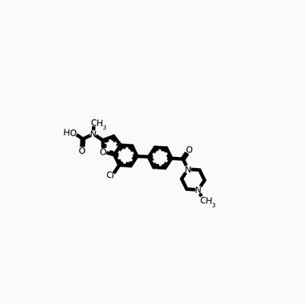 CN1CCN(C(=O)c2ccc(-c3cc(Cl)c4oc(N(C)C(=O)O)cc4c3)cc2)CC1